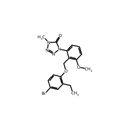 CCc1cc(Br)ccc1OCc1c(OC)cccc1-n1nnn(C)c1=O